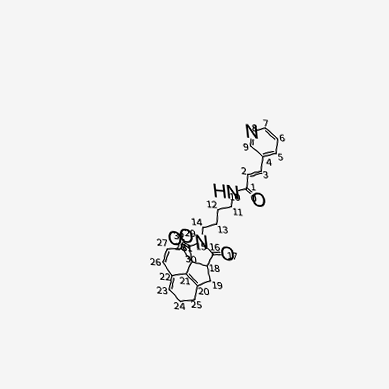 O=C(C=Cc1cccnc1)NCCCCN1C(=O)C2CC3=C4C(=CCC3)C=CC(=O)C42C1=O